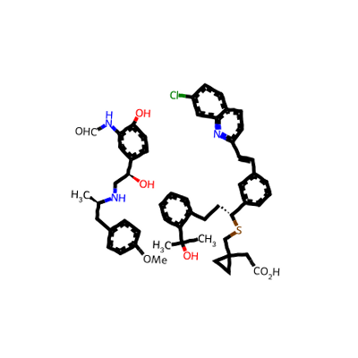 CC(C)(O)c1ccccc1CC[C@@H](SCC1(CC(=O)O)CC1)c1cccc(/C=C/c2ccc3ccc(Cl)cc3n2)c1.COc1ccc(C[C@@H](C)NC[C@H](O)c2ccc(O)c(NC=O)c2)cc1